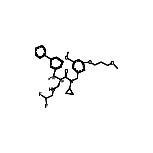 COCCCOc1cc(CN(C(=O)[C@@H](CNCC(F)F)[C@H](C)c2cccc(-c3ccccc3)c2)C2CC2)cc(OC)c1